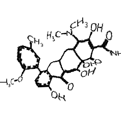 COc1ccc(C)cc1-c1ccc(O)c2c1CC1CC3C(N(C)C)C(O)=C(C(N)=O)C(=O)C3(O)C(O)=C1C2=O